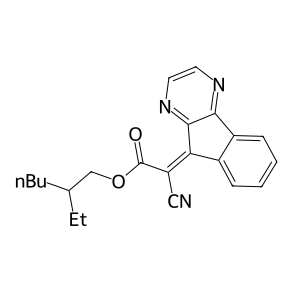 CCCCC(CC)COC(=O)/C(C#N)=C1/c2ccccc2-c2nccnc21